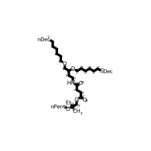 CCCCCCCCCCCCCCCCOCC(CCNC(=O)CCC(=O)OCC(C)(CC)OCCCCC)OCCCCCCCCCCCCCCCC